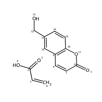 C=CC(=O)O.O=c1ccc2cc(CO)ccc2o1